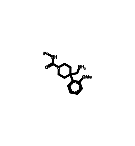 COc1ccccc1C1(CN)CCN(C(=O)NC(C)C)CC1